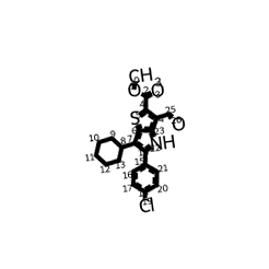 COC(=O)c1sc2c(C3CCCCC3)c(-c3ccc(Cl)cc3)[nH]c2c1C=O